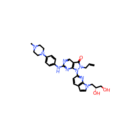 C=CCn1c(=O)c2cnc(Nc3ccc(N4CCN(C)CC4)cc3)nc2n1-c1ccc2ccn(C[C@@H](O)CO)c2n1